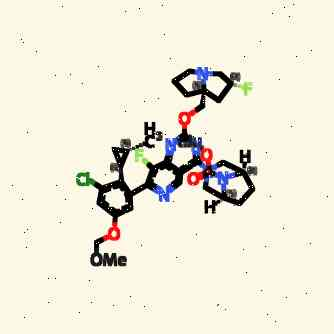 COCOc1cc(Cl)c([C@H]2C[C@@H]2C)c(-c2ncc3c(N4C[C@H]5CC[C@@H](C4)N5C(=O)OC(C)(C)C)nc(OC[C@@]45CCCN4C[C@H](F)C5)nc3c2F)c1